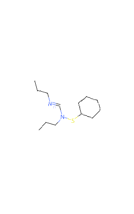 CCC/N=C/N(CCC)SC1CCCCC1